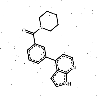 O=C(c1cccc(-c2ccnc3[nH]ccc23)c1)N1CCCCC1